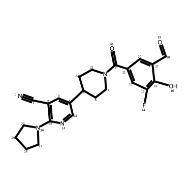 N#Cc1cc(C2CCN(C(=O)c3cc(F)c(O)c(C=O)c3)CC2)cnc1N1CCCC1